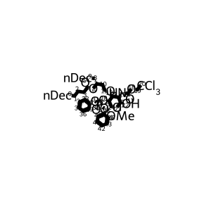 CCCCCCCCCCCCCC(=O)O[C@H](CCCCCCCCCCC)CCO[C@@H]1[C@@H](NC(=O)OCC(Cl)(Cl)Cl)[C@@H](O)O[C@H](COC)[C@H]1OP(=O)(Oc1ccccc1)Oc1ccccc1